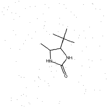 CC1NC(=O)NC1C(C)(C)C